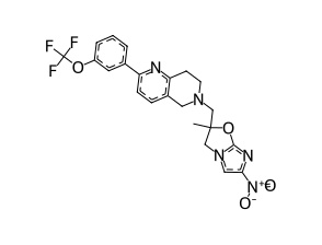 CC1(CN2CCc3nc(-c4cccc(OC(F)(F)F)c4)ccc3C2)Cn2cc([N+](=O)[O-])nc2O1